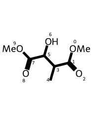 COC(=O)C(C)C(O)C(=O)OC